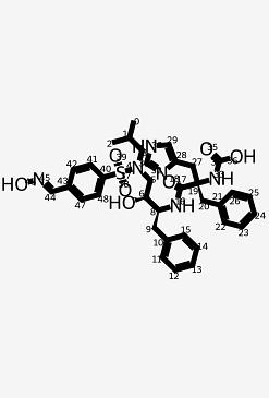 CC(C)CN(C[C@H](O)[C@H](Cc1ccccc1)NC(=O)[C@](Cc1ccccc1)(Cc1c[nH]cn1)NC(=O)O)S(=O)(=O)c1ccc(C=NO)cc1